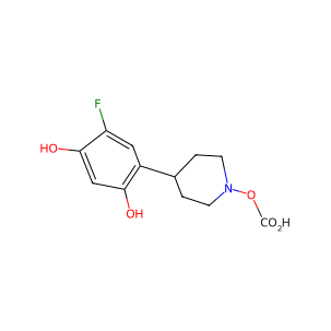 O=C(O)ON1CCC(c2cc(F)c(O)cc2O)CC1